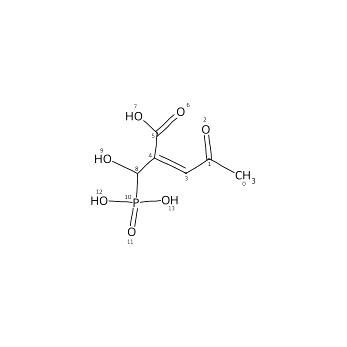 CC(=O)/C=C(\C(=O)O)C(O)P(=O)(O)O